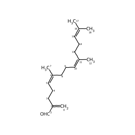 C=C(C=O)CCC=C(C)CCC=C(C)CCC=C(C)C